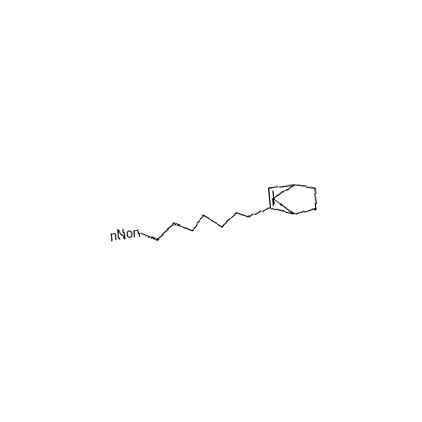 CCCCCCCCCCCCCCCCC1=CC2CCC1C2